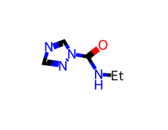 CCNC(=O)n1cncn1